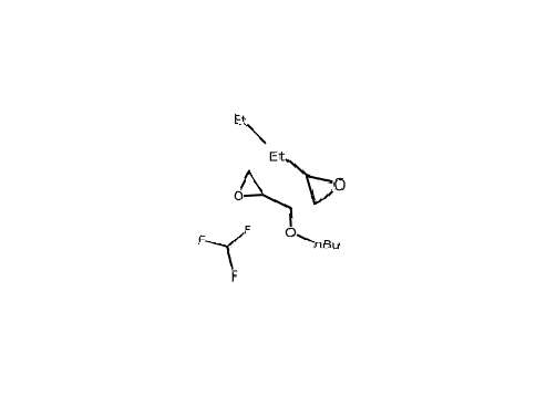 CCC.CCC1CO1.CCCCOCC1CO1.F[C](F)F